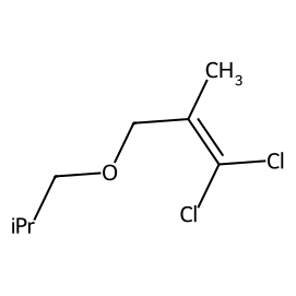 CC(COCC(C)C)=C(Cl)Cl